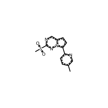 Cc1ccc(-c2ccc3cnc(S(C)(=O)=O)nn23)nc1